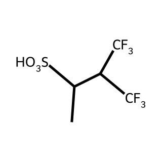 CC(C(C(F)(F)F)C(F)(F)F)S(=O)(=O)O